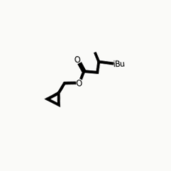 CCC(C)C(C)CC(=O)OCC1CC1